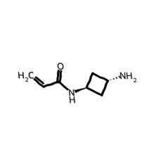 C=CC(=O)N[C@H]1C[C@H](N)C1